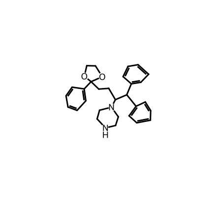 c1ccc(C(c2ccccc2)C(CCC2(c3ccccc3)OCCO2)N2CCNCC2)cc1